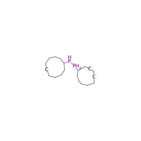 C1CCCCC(P[PH3]C2CCCCCCCCC2)CCCC1